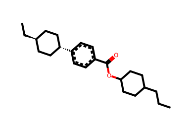 CCCC1CCC(OC(=O)c2ccc([C@H]3CC[C@H](CC)CC3)cc2)CC1